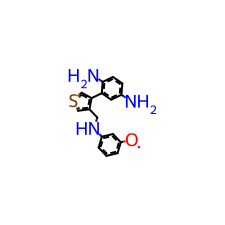 COc1cccc(NCc2cscc2-c2cc(N)ccc2N)c1